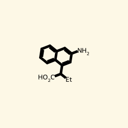 CCC(C(=O)O)c1cc(N)cc2ccccc12